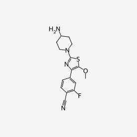 COc1sc(N2CCC(N)CC2)nc1-c1ccc(C#N)c(F)c1